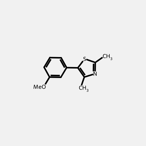 COc1cccc(-c2sc(C)nc2C)c1